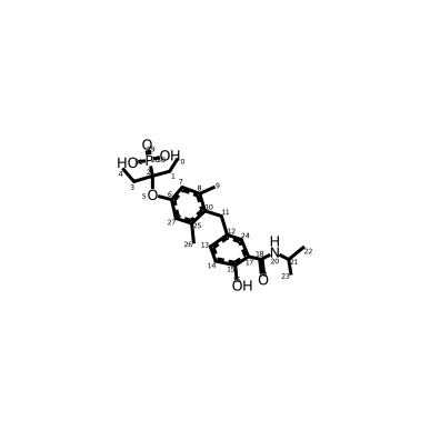 CCC(CC)(Oc1cc(C)c(Cc2ccc(O)c(C(=O)NC(C)C)c2)c(C)c1)P(=O)(O)O